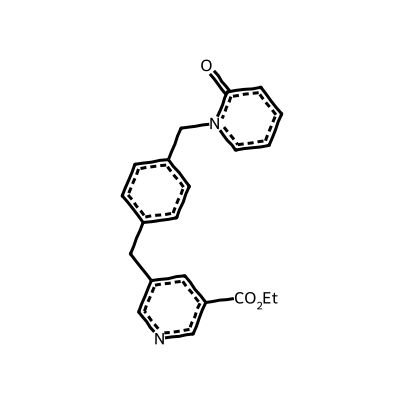 CCOC(=O)c1cncc(Cc2ccc(Cn3ccccc3=O)cc2)c1